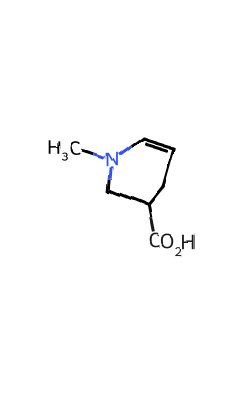 CN1C=CCC(C(=O)O)C1